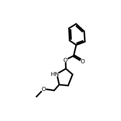 COCC1CCC(OC(=O)c2ccccc2)N1